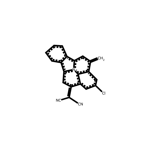 C=c1cc2c3ccccc3c3cc(=C(C#N)C#N)c4cc(Cl)cc1c4n23